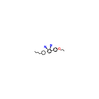 CCCC[C@H]1CC[C@H](c2ccc(-c3ccc(OCCC)cc3)c(C#N)c2C#N)CC1